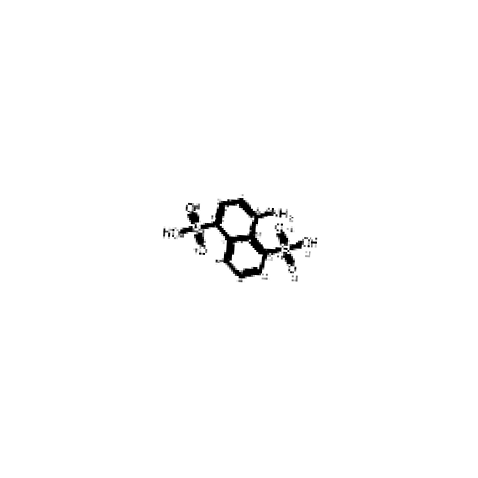 Nc1ccc(S(=O)(=O)O)c2cccc(S(=O)(=O)O)c12